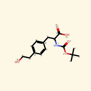 CC(C)(C)OC(=O)NC(Cc1ccc(CCO)cc1)C(=O)O